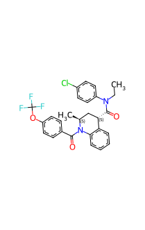 CCN(C(=O)[C@H]1C[C@H](C)N(C(=O)c2ccc(OC(F)(F)F)cc2)c2ccccc21)c1ccc(Cl)cc1